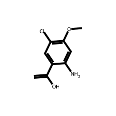 C=C(O)c1cc(Cl)c(OC)cc1N